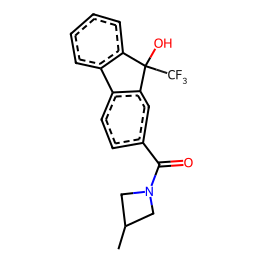 CC1CN(C(=O)c2ccc3c(c2)C(O)(C(F)(F)F)c2ccccc2-3)C1